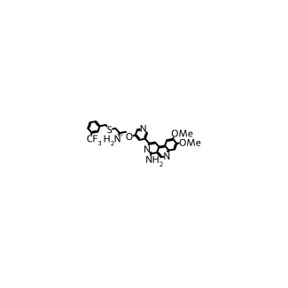 COc1cc2ncc3c(N)nc(-c4cncc(OC[C@@H](N)CSCc5cccc(C(F)(F)F)c5)c4)cc3c2cc1OC